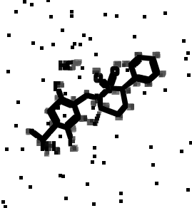 CC(N)c1cc(F)c(CN2[C@@H](C)CC[C@H](c3ccccc3)S2(=O)=O)cc1F.Cl